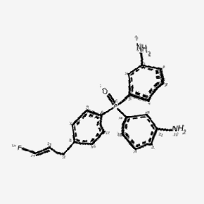 Nc1cccc(P(=O)(c2ccc(CC=CF)cc2)c2cccc(N)c2)c1